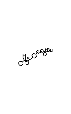 CC(C)(C)C(=O)OCOc1ccc(CSC(=O)Nc2ccccc2)cc1